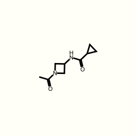 CC(=O)N1CC(NC(=O)C2CC2)C1